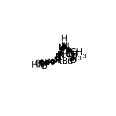 Cc1cc(-c2n[nH]c3ncc(-c4ccc(N5CCN(CC6CCN(c7ccc(N8CCC(=O)NC8=O)cc7)CC6)CC5)nc4)cc23)ccc1[C@@H](C)NC(=O)c1noc(C(C)(C)C)n1